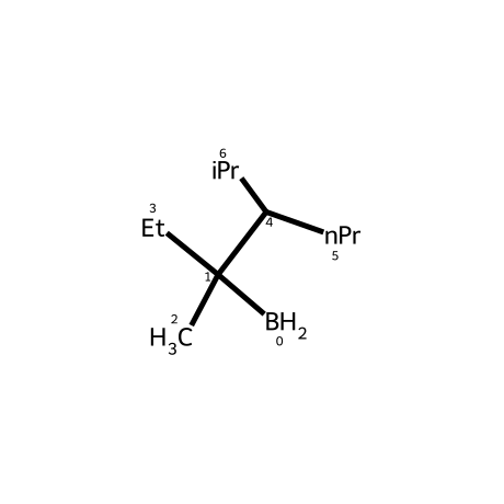 BC(C)(CC)C(CCC)C(C)C